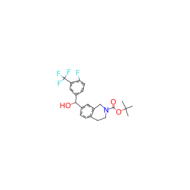 CC(C)(C)OC(=O)N1CCc2ccc(C(O)c3ccc(F)c(C(F)(F)F)c3)cc2C1